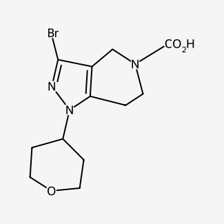 O=C(O)N1CCc2c(c(Br)nn2C2CCOCC2)C1